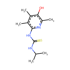 Cc1nc(NC(=S)NC(C)C)c(C)c(C)c1O